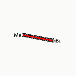 COCCOCCOCCOCCOCCOCCOCCOCCOCCOCCOCCOCCOCCOCCOCCOCCOCCOCCOCCOCCOCCC(=O)OCC(C)C